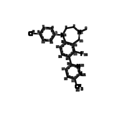 CN1CCN(c2ccc(Cl)cc2)c2ccc(-c3ccc(C(F)(F)F)nn3)c(F)c2C1